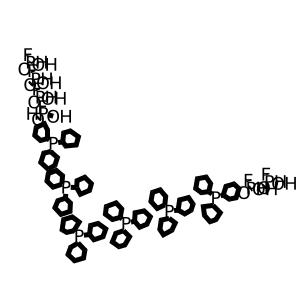 C1CCC(P(C2CCCCC2)C2CCCCC2)CC1.C1CCC(P(C2CCCCC2)C2CCCCC2)CC1.C1CCC(P(C2CCCCC2)C2CCCCC2)CC1.C1CCC(P(C2CCCCC2)C2CCCCC2)CC1.C1CCC(P(C2CCCCC2)C2CCCCC2)CC1.C1CCC(P(C2CCCCC2)C2CCCCC2)CC1.O=[PH](O)F.O=[PH](O)F.O=[PH](O)F.O=[PH](O)F.O=[PH](O)F.O=[PH](O)F